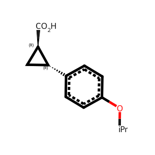 CC(C)Oc1ccc([C@@H]2C[C@H]2C(=O)O)cc1